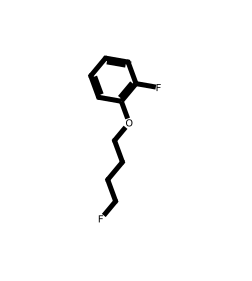 FCCCCOc1ccc[c]c1F